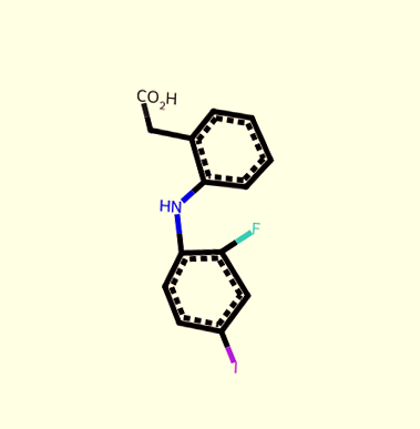 O=C(O)Cc1ccccc1Nc1ccc(I)cc1F